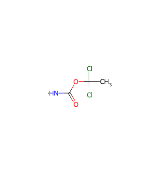 CC(Cl)(Cl)OC([NH])=O